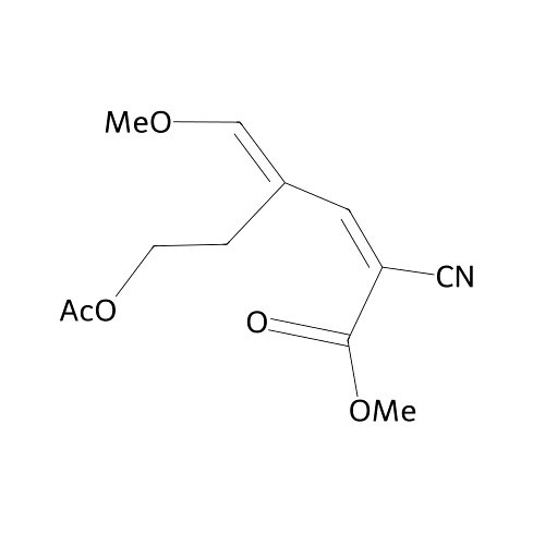 COC=C(C=C(C#N)C(=O)OC)CCOC(C)=O